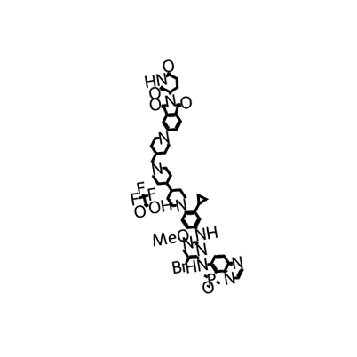 COc1cc(N2CCC(C3CCN(CC4CCN(c5ccc6c(c5)C(=O)N(C5CCC(=O)NC5=O)C6=O)CC4)CC3)CC2)c(C2CC2)cc1Nc1ncc(Br)c(Nc2ccc3nccnc3c2P(C)(C)=O)n1.O=C(O)C(F)(F)F